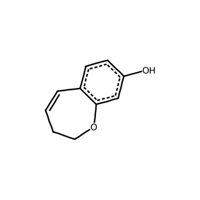 Oc1ccc2c(c1)OCCC=C2